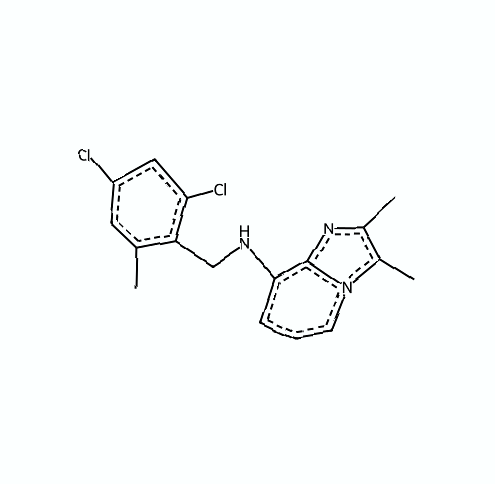 Cc1cc(Cl)cc(Cl)c1CNc1cccn2c(C)c(C)nc12